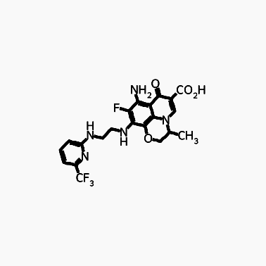 CC1COc2c(NCCNc3cccc(C(F)(F)F)n3)c(F)c(N)c3c(=O)c(C(=O)O)cn1c23